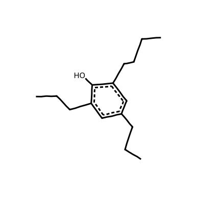 CCCCc1cc(CCC)cc(CCC)c1O